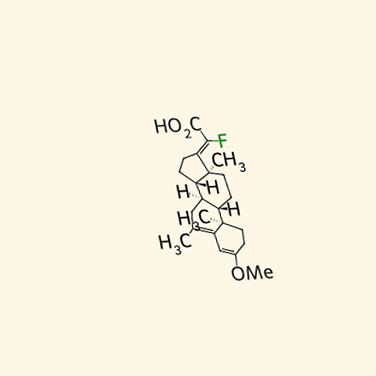 COC1=CC2=C(C)C[C@@H]3[C@H](CC[C@]4(C)C(=C(F)C(=O)O)CC[C@@H]34)[C@@]2(C)CC1